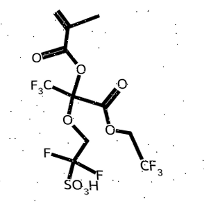 C=C(C)C(=O)OC(OCC(F)(F)S(=O)(=O)O)(C(=O)OCC(F)(F)F)C(F)(F)F